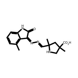 Cc1cccc2c1C(=NN=CC1(C)CC(C)(C(=O)O)CN1)C(=O)N2